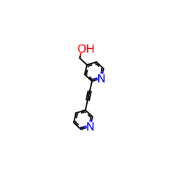 OCc1ccnc(C#Cc2cccnc2)c1